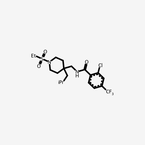 CCS(=O)(=O)N1CCC(CNC(=O)c2ccc(C(F)(F)F)cc2Cl)(CC(C)C)CC1